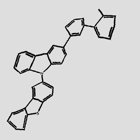 Cc1ccccc1-c1cccc(-c2ccc3c(c2)c2ccccc2n3-c2ccc3sc4ccccc4c3c2)c1